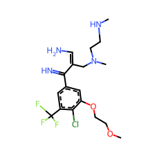 CNCCN(C)C/C(=C/N)C(=N)c1cc(OCCOC)c(Cl)c(C(F)(F)F)c1